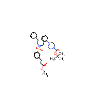 CCOC(=O)CCc1cccc(S(=O)(=O)N(CCc2ccccc2)Cc2ccccc2N2CCN(C(=O)OC(C)(C)C)CC2)c1